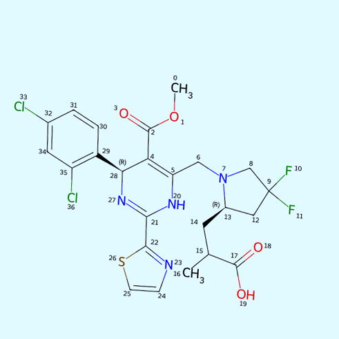 COC(=O)C1=C(CN2CC(F)(F)C[C@H]2CC(C)C(=O)O)NC(c2nccs2)=N[C@H]1c1ccc(Cl)cc1Cl